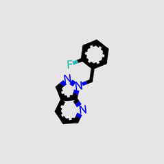 Fc1ccccc1Cn1ncc2cccnc21